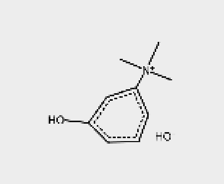 C[N+](C)(C)c1cccc(O)c1.[OH-]